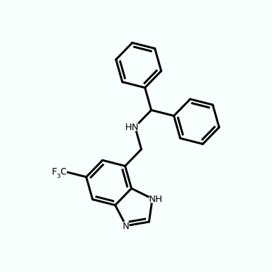 FC(F)(F)c1cc(CNC(c2ccccc2)c2ccccc2)c2[nH]cnc2c1